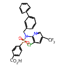 O=C(O)c1ccc(S(=O)(=O)N(Cc2cccc(-c3ccccc3)c2)c2ncc(C(F)(F)F)cc2Cl)cc1